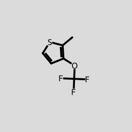 Cc1sccc1OC(F)(F)F